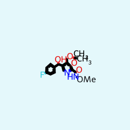 CONC(=O)c1ncc(C(O)c2ccc(F)cc2)c2c1OC(C)(C)OC2